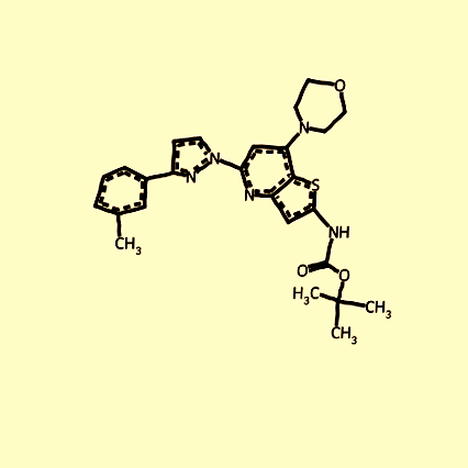 Cc1cccc(-c2ccn(-c3cc(N4CCOCC4)c4sc(NC(=O)OC(C)(C)C)cc4n3)n2)c1